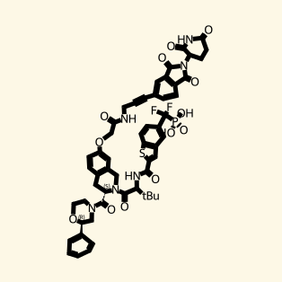 CC(C)(C)C(NC(=O)c1cc2cc(C(F)(F)P(=O)(O)O)ccc2s1)C(=O)N1Cc2cc(OCC(=O)NCC#Cc3ccc4c(c3)C(=O)N(C3CCC(=O)NC3=O)C4=O)ccc2C[C@H]1C(=O)N1CCO[C@H](c2ccccc2)C1